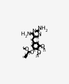 C#CC(OC)Oc1cc(Cc2cnc(N)nc2N)cc(OC)c1OC